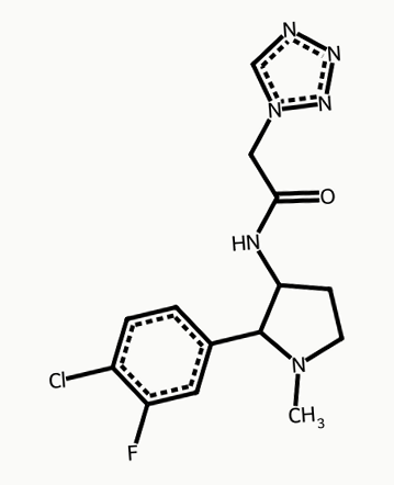 CN1CCC(NC(=O)Cn2cnnn2)C1c1ccc(Cl)c(F)c1